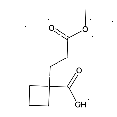 COC(=O)CCC1(C(=O)O)CCC1